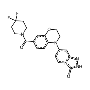 O=C(c1ccc2c(c1)OCCN2c1ccn2c(=O)[nH]nc2c1)N1CCC(F)(F)CC1